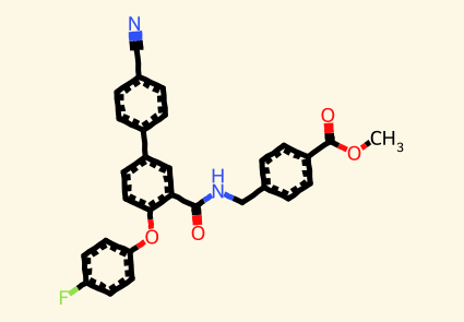 COC(=O)c1ccc(CNC(=O)c2cc(-c3ccc(C#N)cc3)ccc2Oc2ccc(F)cc2)cc1